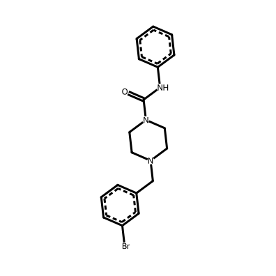 O=C(Nc1ccccc1)N1CCN(Cc2cccc(Br)c2)CC1